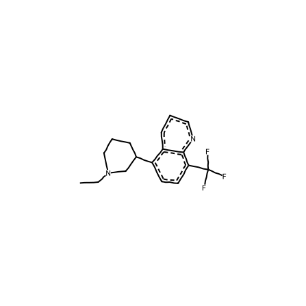 CCN1CCCC(c2ccc(C(F)(F)F)c3ncccc23)C1